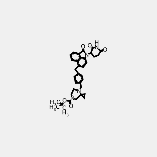 CC(C)(C)OC(=O)N1CCN(Cc2ccc(Cc3ccc4c5c(cccc35)C(=O)N4C3CCC(=O)NC3=O)cc2)C2(CC2)C1